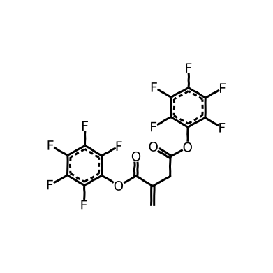 C=C(CC(=O)Oc1c(F)c(F)c(F)c(F)c1F)C(=O)Oc1c(F)c(F)c(F)c(F)c1F